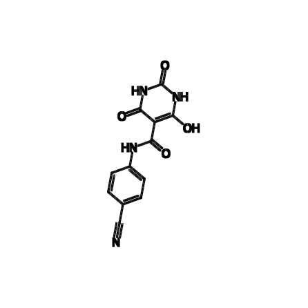 N#Cc1ccc(NC(=O)c2c(O)[nH]c(=O)[nH]c2=O)cc1